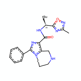 Cc1noc([C@@H](NC(=O)c2nc(-c3ccccc3)n3c2CNCCC3)C(C)(C)C)n1